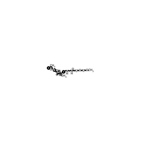 CCOCCOCCOCCOCCC(=O)NCCCNCc1ccc(-c2c3ncn(CC4(O)CCN(C(=O)CC(C)c5ccccc5)CC4)c(=O)c3nn2C)cc1